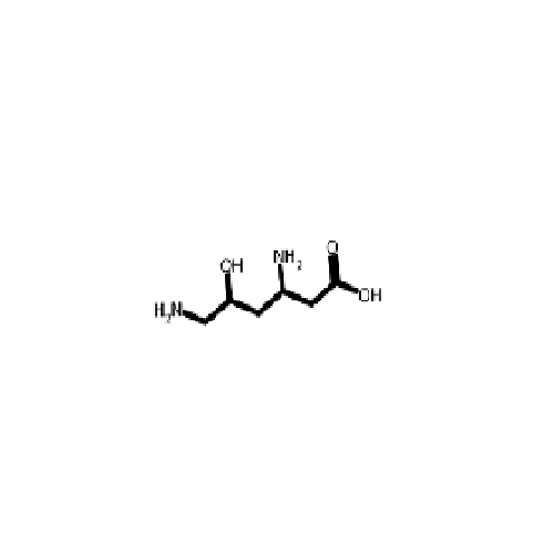 NCC(O)CC(N)CC(=O)O